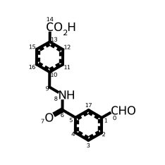 O=Cc1cccc(C(=O)NCc2ccc(C(=O)O)cc2)c1